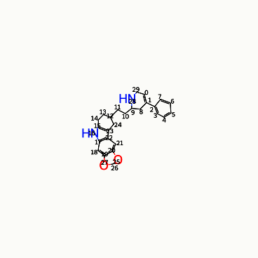 C1=C(c2ccccc2)CC(CCC2CCc3[nH]c4cc5c(cc4c3C2)OCO5)NC1